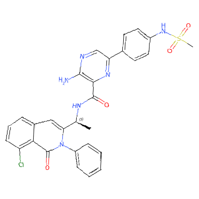 C[C@H](NC(=O)c1nc(-c2ccc(NS(C)(=O)=O)cc2)cnc1N)c1cc2cccc(Cl)c2c(=O)n1-c1ccccc1